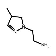 CC1C=NN(CCN)C1